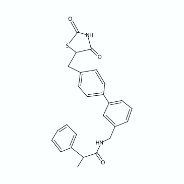 CC(C(=O)NCc1cccc(-c2ccc(CC3SC(=O)NC3=O)cc2)c1)c1ccccc1